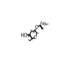 C=C(CCCC)O[C@H]1COC(C)[C@@H](O)C1